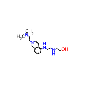 CN(C)CCN1C=Cc2c(cccc2NCCNCCO)C1